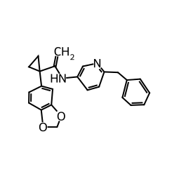 C=C(Nc1ccc(Cc2ccccc2)nc1)C1(c2ccc3c(c2)OCO3)CC1